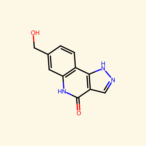 O=c1[nH]c2cc(CO)ccc2c2[nH]ncc12